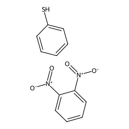 O=[N+]([O-])c1ccccc1[N+](=O)[O-].Sc1ccccc1